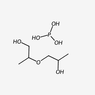 CC(O)COC(C)CO.OP(O)O